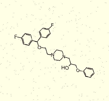 OC(COc1ccccc1)CN1CCN(CCOC(c2ccc(F)cc2)c2ccc(F)cc2)CC1